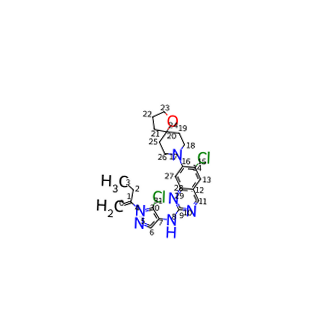 C=C(CC)n1ncc(Nc2ncc3cc(Cl)c(N4CCC5(CCCO5)CC4)cc3n2)c1Cl